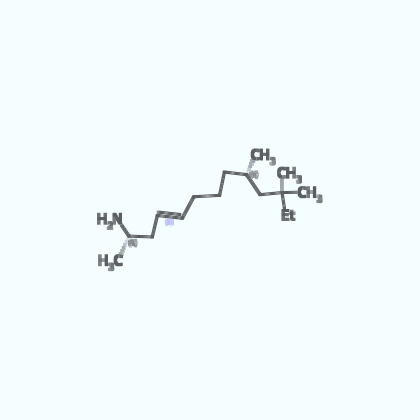 CCC(C)(C)C[C@@H](C)CCC/C=C/C[C@H](C)N